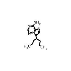 CCCC(CCC)c1cnc2c(N)ncnn12